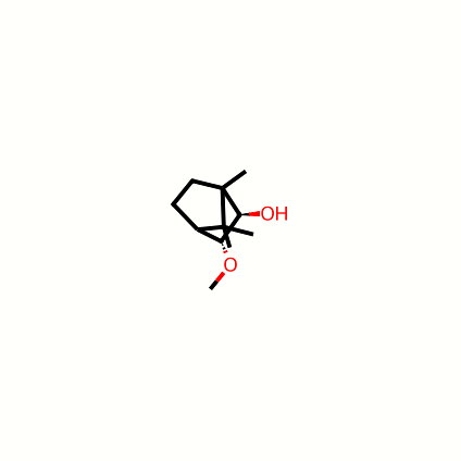 CO[C@@H]1C2CCC(C)([C@H]1O)C2(C)C